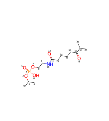 CC(C)OP(=O)(O)OCCNC(=O)CCCCC(=O)C(C)C